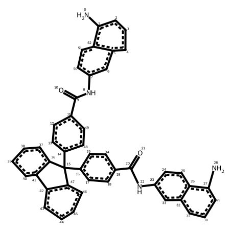 Nc1cccc2cc(NC(=O)c3ccc(C4(c5ccc(C(=O)Nc6ccc7c(N)cccc7c6)cc5)c5ccccc5-c5ccccc54)cc3)ccc12